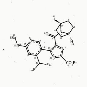 CCOC(=O)c1nc(C(=O)N2[C@H]3CC[C@H]2CC3)c(-c2cnc(NC(C)(C)C)cc2C(F)F)s1